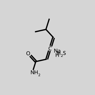 CC(C)C=C=CC(N)=O.S.[NaH]